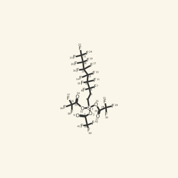 O=C(O[Si](CCC(F)(F)C(F)(F)C(F)(F)C(F)(F)C(F)(F)C(F)(F)F)(OC(=O)C(F)(F)F)OC(=O)C(F)(F)F)C(F)(F)F